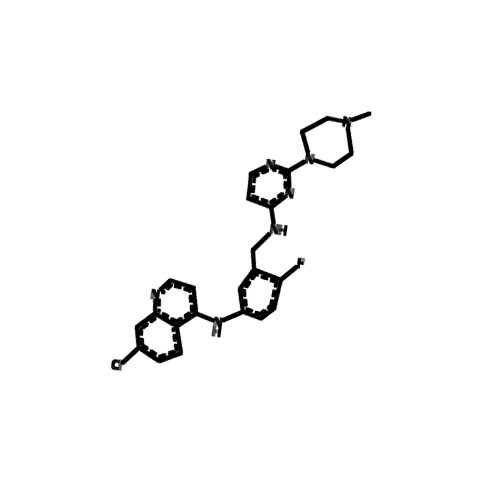 CN1CCN(c2nccc(NCc3cc(Nc4ccnc5cc(Cl)ccc45)ccc3F)n2)CC1